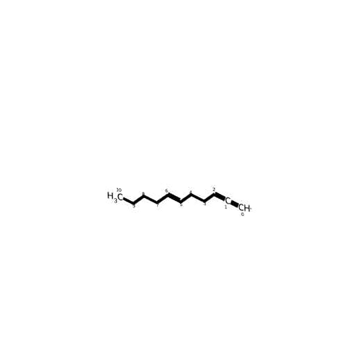 [CH]=C=CCCC=CCCCC